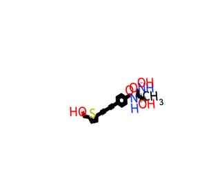 C[C@@H](O)[C@H](NC(=O)c1ccc(C#CC#Cc2ccc(CO)s2)cc1)C(=O)NO